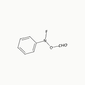 O=CON(F)c1ccccc1